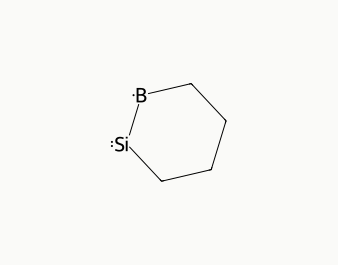 [B]1CCCC[Si]1